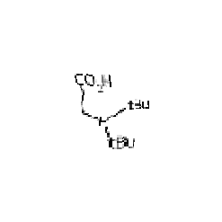 CC(C)(C)P(CC(=O)O)C(C)(C)C